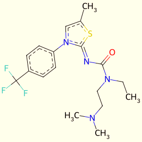 CCN(CCN(C)C)C(=O)N=c1sc(C)cn1-c1ccc(C(F)(F)F)cc1